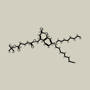 CCCCCCCCN(CCCCCCCC)c1ccc2c(COC(=O)CCCC(=O)OC(C)(C)C)cc(=O)oc2c1